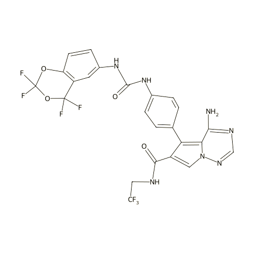 Nc1ncnn2cc(C(=O)NCC(F)(F)F)c(-c3ccc(NC(=O)Nc4ccc5c(c4)C(F)(F)OC(F)(F)O5)cc3)c12